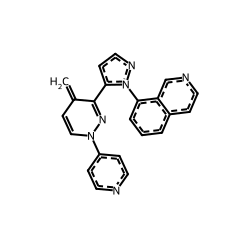 C=C1C=CN(c2ccncc2)N=C1c1ccnn1-c1cccc2ccncc12